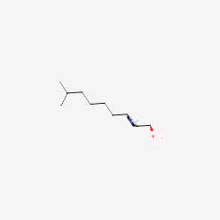 CC(C)CCCC/C=C/C=O